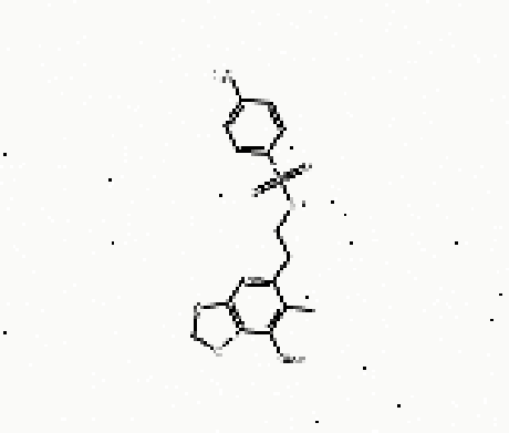 COc1c(I)c(CCNS(=O)(=O)c2ccc(C(F)(F)F)cc2)cc2c1OCO2